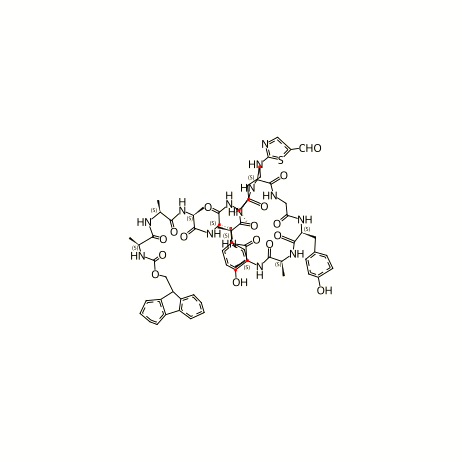 C[C@H](NC(=O)OCC1c2ccccc2-c2ccccc21)C(=O)N[C@@H](C)C(=O)N[C@@H](C)C(=O)N[C@@H](Cc1ccc(O)cc1)C(=O)N[C@@H](C)C(=O)N[C@@H](C)C(=O)NCC(=O)N[C@@H](Cc1ccc(O)cc1)C(=O)N[C@@H](C)C(=O)N[C@@H](C)C(=O)N[C@@H](C)C(=O)NCCCNc1ncc(C=O)s1